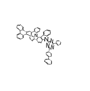 c1ccc(-c2ccc(-c3nc(-c4ccccc4)nc(-n4c5ccccc5c5c4ccc4c6ccccc6n(-c6ccccc6-c6ccc7c8ccccc8c8ccccc8c7c6)c45)n3)cc2)cc1